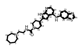 O=C(NCCN1CCCCCC1)N1CC=C(c2cc3c(Nc4ccc5ncsc5c4)ccnc3[nH]2)CC1